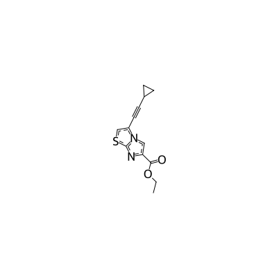 CCOC(=O)c1cn2c(C#CC3CC3)csc2n1